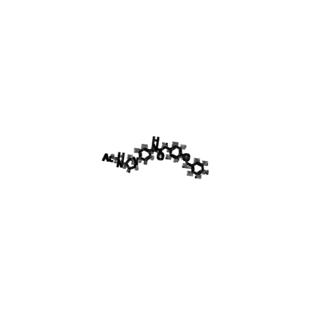 CC(=O)CNC1CCN(c2ccc(NC(=O)Cc3ccc(OCc4ccccc4)cc3)cc2)C1